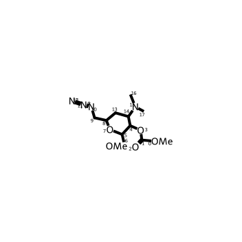 COC(=O)OC1C(OC)OC(CN=[N+]=[N-])CC1N(C)C